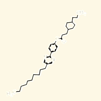 CCCCCCCCCCc1cnc(-c2ccc(OC(=O)CCC3CCC(CCC)CC3)cc2)nc1